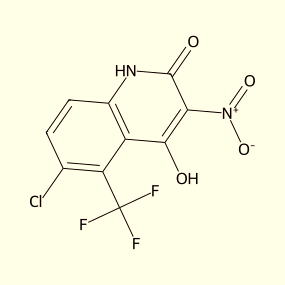 O=c1[nH]c2ccc(Cl)c(C(F)(F)F)c2c(O)c1[N+](=O)[O-]